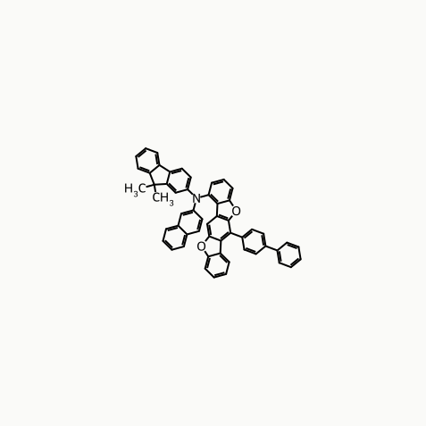 CC1(C)c2ccccc2-c2ccc(N(c3ccc4ccccc4c3)c3cccc4oc5c(-c6ccc(-c7ccccc7)cc6)c6c(cc5c34)oc3ccccc36)cc21